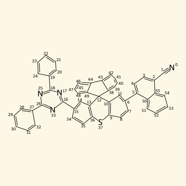 N#Cc1ccc(-c2ccc3c(c2)C2(c4cc(-c5nc(-c6ccccc6)nc(-c6ccccc6)n5)ccc4S3)c3ccccc3-c3ccccc32)c2ccccc12